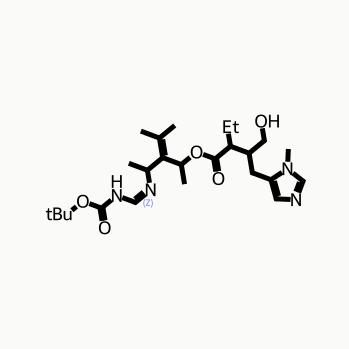 CCC(C(=O)OC(C)C(=C(C)C)C(C)/N=C\NC(=O)OC(C)(C)C)C(CO)Cc1cncn1C